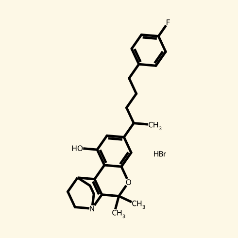 Br.CC(CCCc1ccc(F)cc1)c1cc(O)c2c(c1)OC(C)(C)C1=C2C2CCN1CC2